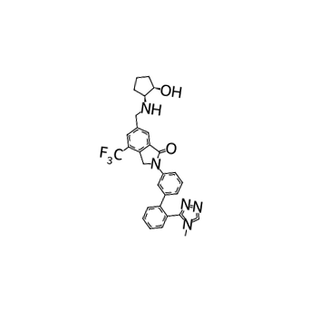 Cn1cnnc1-c1ccccc1-c1cccc(N2Cc3c(cc(CN[C@H]4CCC[C@H]4O)cc3C(F)(F)F)C2=O)c1